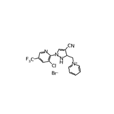 N#CC1=CN(c2ncc(C(F)(F)F)cc2Cl)NC1C[n+]1ccccc1.[Br-]